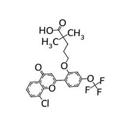 CC(C)(CCCOc1cc(OC(F)(F)F)ccc1-c1cc(=O)c2cccc(Cl)c2o1)C(=O)O